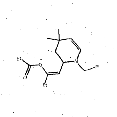 CCC(=O)OC(=CC1CC(C)(C)C=CN1CC(C)C)CC